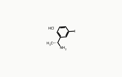 C[C@@H](N)c1cccc(I)c1.Cl